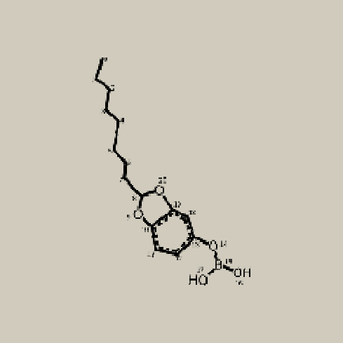 CCCCCCCCC1Oc2ccc(OB(O)O)cc2O1